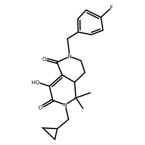 CC1(C)C2CCN(Cc3ccc(F)cc3)C(=O)C2=C(O)C(=O)N1CC1CC1